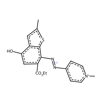 CCOC(=O)c1cc(O)c2cc(C)sc2c1/N=N/c1cc[n+](C)cc1